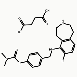 CN(C)C(=O)Sc1ccc(CNc2c(Cl)ccc3c2CCNCC3)cc1.O=C(O)CCC(=O)O